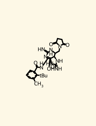 Cc1cccc(C(=O)NC2CN3C(=N)NC(CN4C(=O)CCC4=O)C4NC(=N)NC43C2(O)O)c1C(C)(C)C